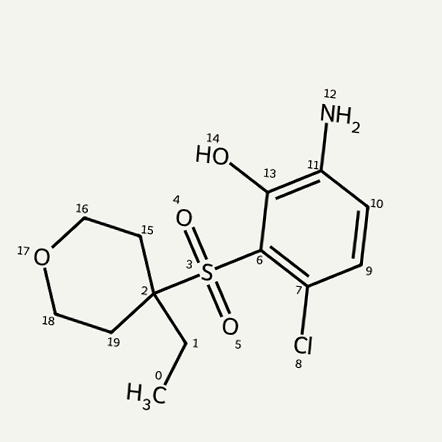 CCC1(S(=O)(=O)c2c(Cl)ccc(N)c2O)CCOCC1